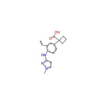 C=Cc1cc(C2(C(=O)O)CCC2)ccc1Nc1ccn(C)n1